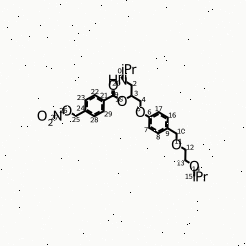 CC(C)NCC(COc1ccc(COCCOC(C)C)cc1)OC(=O)c1ccc(CO[N+](=O)[O-])cc1